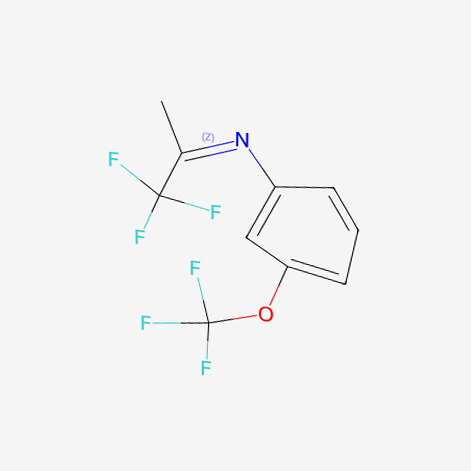 C/C(=N/c1cccc(OC(F)(F)F)c1)C(F)(F)F